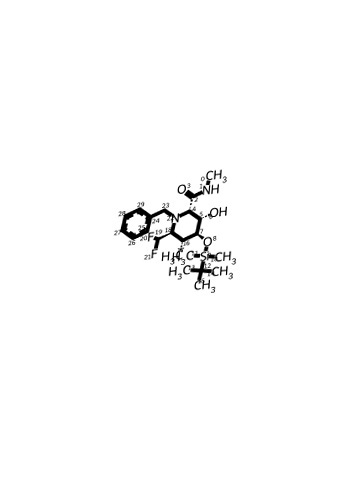 CNC(=O)[C@@H]1[C@H](O)[C@@H](O[Si](C)(C)C(C)(C)C)[C@H](C)[C@@H](C(F)F)N1Cc1ccccc1